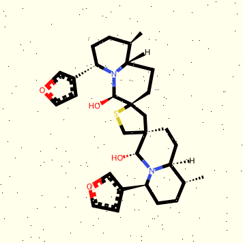 C[C@@H]1CC[C@@H](c2ccoc2)N2[C@H]1CC[C@@]1(CS[C@@]3(CC[C@H]4[C@H](C)CC[C@@H](c5ccoc5)N4[C@@H]3O)C1)[C@H]2O